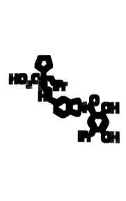 CC(C)C[C@@](NCCc1ccc2c(c1)CN(C(=O)c1cc(C(C)C)c(O)cc1O)C2)(C(=O)O)C1CCCC1